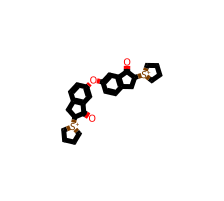 O=C1c2cc(Oc3ccc4c(c3)C(=O)C([S+]3CCCC3)C4)ccc2CC1[S+]1CCCC1